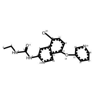 CCNC(=O)Nc1cc2c(Cl)ccc(Oc3cccnc3)c2cn1